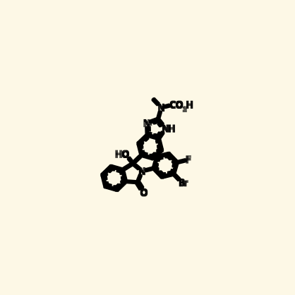 CN(C(=O)O)c1nc2cc(C3(O)c4ccccc4C(=O)N3c3ccc(F)c(Br)c3)ccc2[nH]1